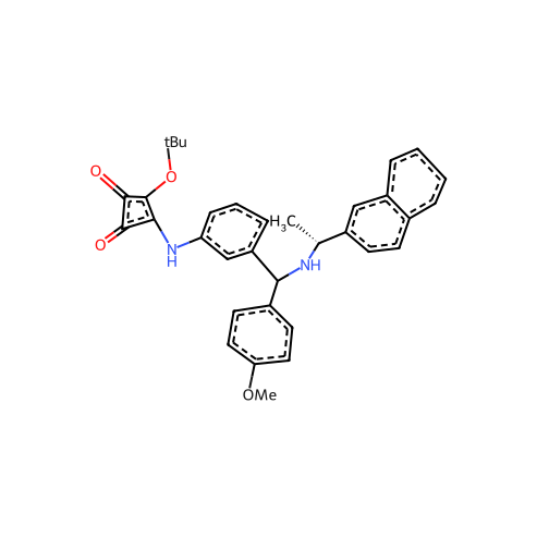 COc1ccc(C(N[C@H](C)c2ccc3ccccc3c2)c2cccc(Nc3c(OC(C)(C)C)c(=O)c3=O)c2)cc1